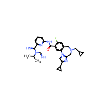 CC(C)N(C=N)C(=N)c1cccc(NC(=O)c2cc3c(cc2F)CN(CC2CC2)Cc2nc(C4CC4)cn2-3)n1